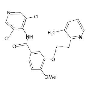 COc1ccc(C(=O)Nc2c(Cl)cncc2Cl)cc1OCCc1ncccc1C